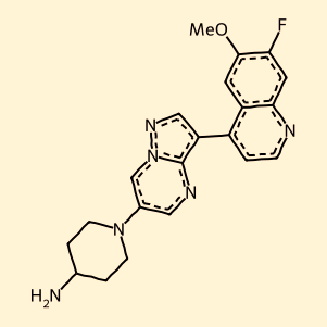 COc1cc2c(-c3cnn4cc(N5CCC(N)CC5)cnc34)ccnc2cc1F